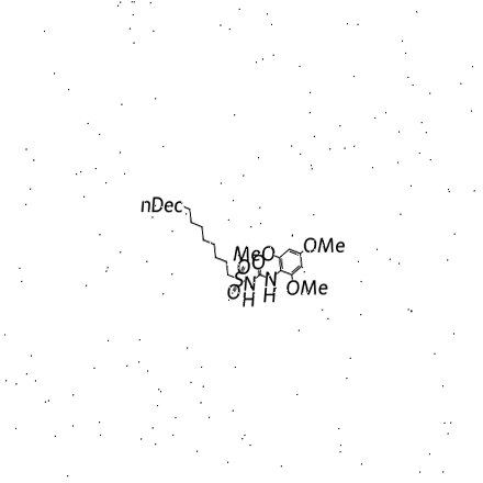 CCCCCCCCCCCCCCCCCCS(=O)(=O)NC(=O)Nc1c(OC)cc(OC)cc1OC